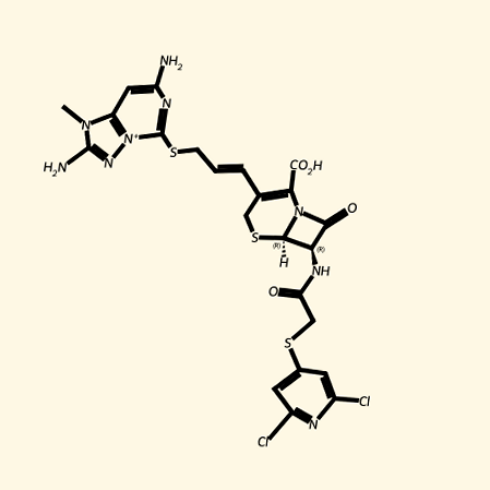 Cn1c(N)n[n+]2c(SCC=CC3=C(C(=O)O)N4C(=O)[C@@H](NC(=O)CSc5cc(Cl)nc(Cl)c5)[C@H]4SC3)nc(N)cc12